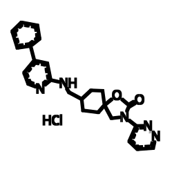 Cl.O=C1OC2(CCC(CNc3cc(-c4ccccc4)ccn3)CC2)CN1c1cccnn1